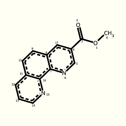 COC(=O)c1cnc2c(ccc3cccnc32)c1